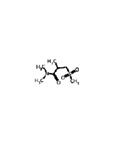 CC(CS(C)(=O)=O)C(=O)N(C)C